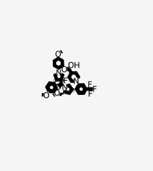 COC[C@@H]1C[C@@H](c2ccc(C(F)(F)F)cc2N2CCC(C(=O)O)CC2)CN1C(=O)[C@]1(F)CN([C@H]2CC[C@H](OC)CC2)C[C@H]1c1ccc(OC)cc1